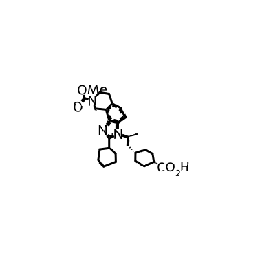 COC(=O)N1CCc2ccc3c(nc(C4CCCCC4)n3[C@@H](C)C[C@H]3CC[C@@H](C(=O)O)CC3)c2C1